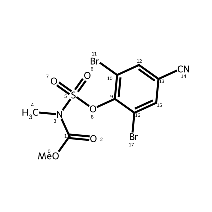 COC(=O)N(C)S(=O)(=O)Oc1c(Br)cc(C#N)cc1Br